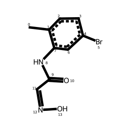 Cc1ccc(Br)cc1NC(=O)/C=N\O